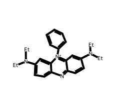 CCN(CC)c1ccc2nc3ccc(N(CC)CC)cc3[n+](-c3ccccc3)c2c1